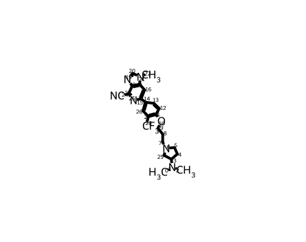 CN(C)C1CCN(CCCOc2ccc(-c3cc4c(ncn4C)c(C#N)n3)cc2C(F)(F)F)C1